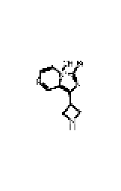 C[N+]12C=CN=CC1=C(C1CNC1)N=C2Br